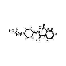 O=C(O)NC1CCC(NC(=O)c2ccccc2[N+](=O)[O-])CC1